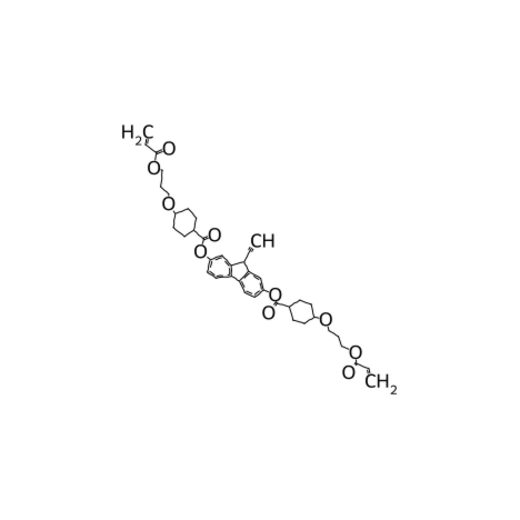 C#CC1c2cc(OC(=O)C3CCC(OCCCOC(=O)C=C)CC3)ccc2-c2ccc(OC(=O)C3CCC(OCCCOC(=O)C=C)CC3)cc21